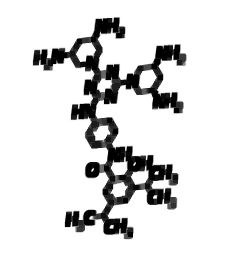 CC(C)c1cc(C(=O)Nc2ccc(Nc3nc(N4C[C@H](N)C[C@H](N)C4)nc(N4C[C@H](N)C[C@H](N)C4)n3)cc2)c(O)c(C(C)C)c1